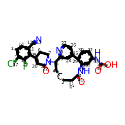 C[C@@H]1CCC[C@H](N2CCC(c3c(C#N)ccc(Cl)c3F)=CC2=O)c2cc(ccn2)-c2ccc(NC(=O)O)cc2NC1=O